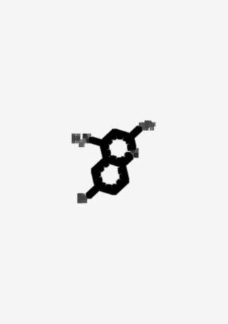 CCCc1cc(N)c2cc(Br)ccc2n1